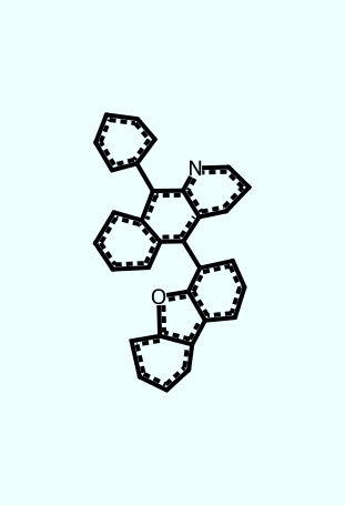 c1ccc(-c2c3ccccc3c(-c3cccc4c3oc3ccccc34)c3cccnc23)cc1